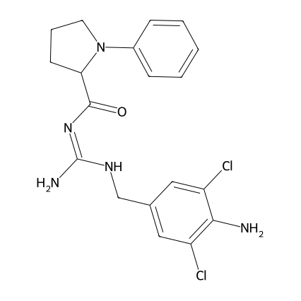 NC(=NC(=O)C1CCCN1c1ccccc1)NCc1cc(Cl)c(N)c(Cl)c1